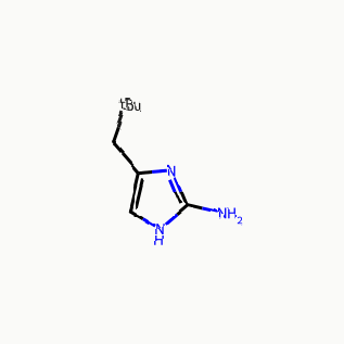 CC(C)(C)Cc1c[nH]c(N)n1